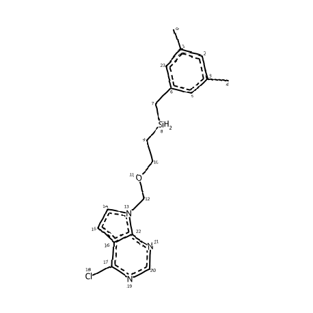 Cc1cc(C)cc(C[SiH2]CCOCn2ccc3c(Cl)ncnc32)c1